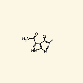 Cc1cnc2[nH]cc(C(N)=O)c2c1Cl